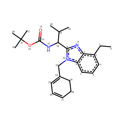 CCc1cccc2c1nc(C(NC(=O)OC(C)(C)C)C(C)C)n2CC1=CC=C[C][C]1